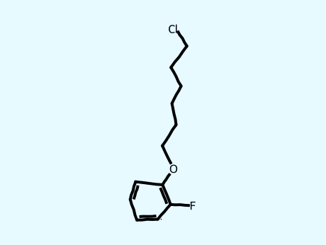 Fc1[c]cccc1OCCCCCCCl